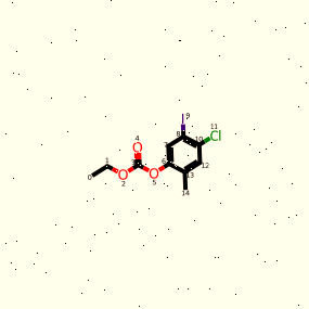 CCOC(=O)Oc1cc(I)c(Cl)cc1C